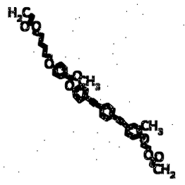 C=CC(=O)OCCCCCCOc1ccc(C(=O)Oc2ccc(C#Cc3ccc(C#Cc4ccc(OCCOC(=O)C=C)c(C)c4)cc3)cc2C)cc1